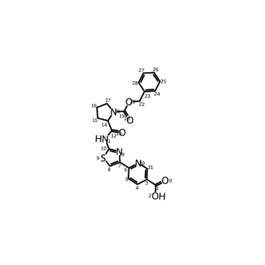 O=C(O)c1ccc(-c2csc(NC(=O)C3CCCN3C(=O)OCc3ccccc3)n2)nc1